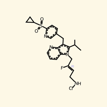 CC(C)c1c(Cc2ccc(S(=O)(=O)C3CC3)nc2)c2ncccc2n1C/C(F)=C/CNCl